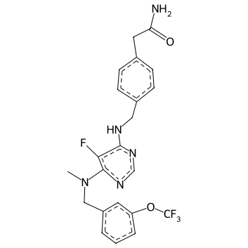 CN(Cc1cccc(OC(F)(F)F)c1)c1ncnc(NCc2ccc(CC(N)=O)cc2)c1F